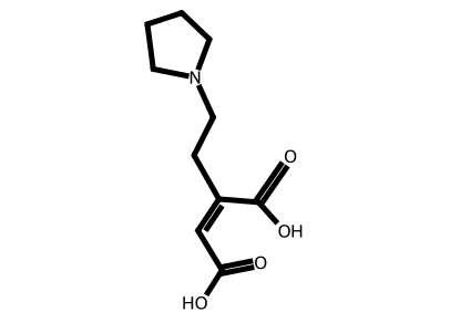 O=C(O)C=C(CCN1CCCC1)C(=O)O